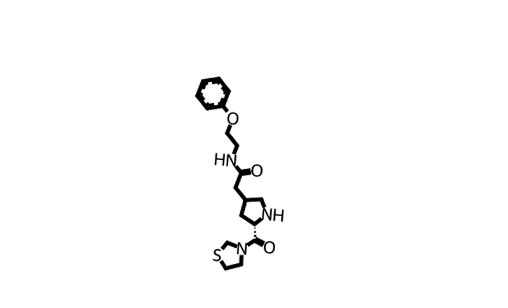 O=C(CC1CN[C@H](C(=O)N2CCSC2)C1)NCCOc1ccccc1